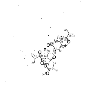 COC(=O)C(C)C[C@@]1(CCl)O[C@@H](n2cc(F)c(NC(=O)C(C)C)nc2=O)[C@@H](F)[C@@H]1OC(=O)C(C)C